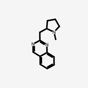 CN1CCCC1Cc1ncc2ccccc2n1